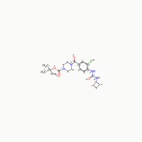 CC(C)(C)OC(=O)N1CCN(C(=O)c2ccc(NC(=O)NC3CCC3)c(F)c2)CC1